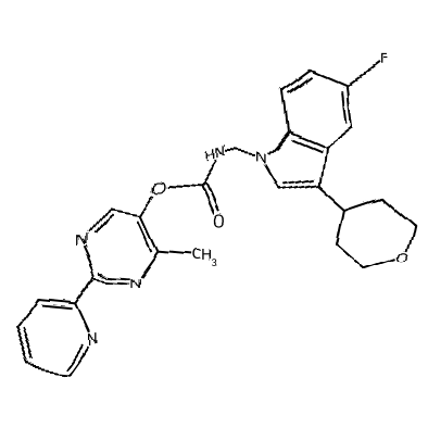 Cc1nc(-c2ccccn2)ncc1OC(=O)Nn1cc(C2CCOCC2)c2cc(F)ccc21